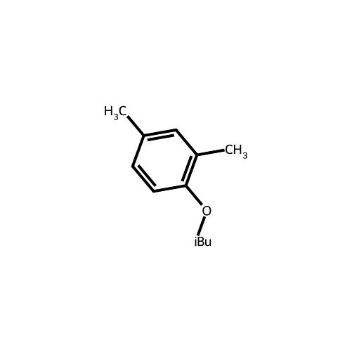 CCC(C)Oc1ccc(C)cc1C